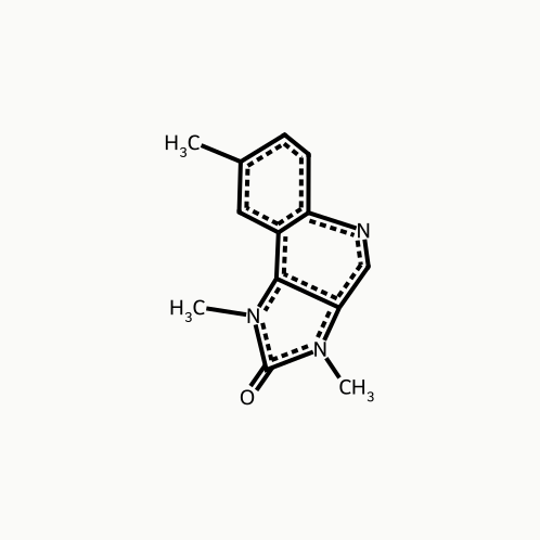 Cc1ccc2ncc3c(c2c1)n(C)c(=O)n3C